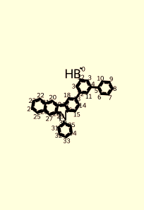 CBc1cc(-c2ccccc2)cc(-c2ccc3c(c2)c2cc4ccccc4cc2n3-c2ccccc2)c1